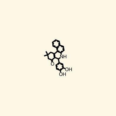 CC1(C)CC(=O)C2=C(C1)c1c(ccc3ccccc13)NC2c1ccc(O)c(O)c1